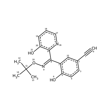 C#Cc1ccc(O)c(C(=NOC(C)(C)C)c2ncccc2O)c1